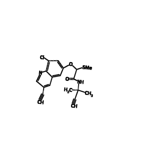 C#Cc1cnc2c(Cl)cc(OC(SC)C(=O)NC(C)(C)C#C)cc2c1